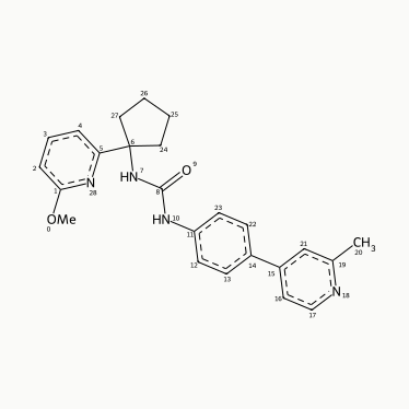 COc1cccc(C2(NC(=O)Nc3ccc(-c4ccnc(C)c4)cc3)CCCC2)n1